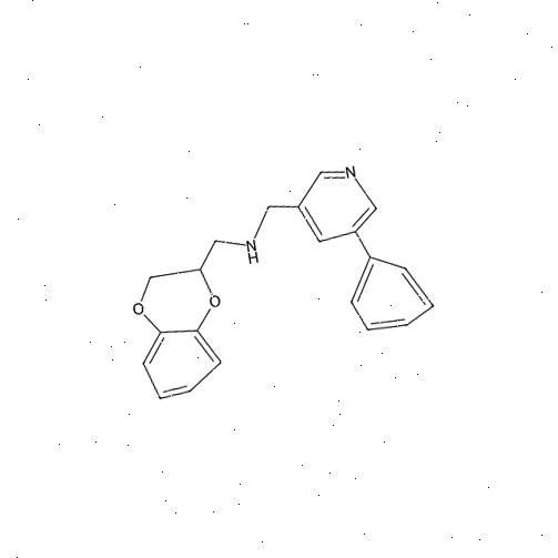 c1ccc(-c2cncc(CNCC3COc4ccccc4O3)c2)cc1